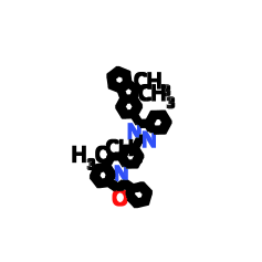 CC1(C)c2ccccc2-c2ccc(-c3nc(-c4ccc5c(c4)C(C)(C)c4cccc6c7oc8ccccc8c7n-5c46)nc4ccccc34)cc21